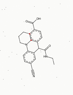 CCNC(=O)C(c1ccc(C(=O)O)cc1)c1cc(C#N)ccc1N1CCCCC1